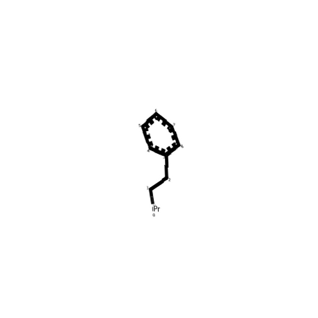 [C]C(C)CCc1ccccc1